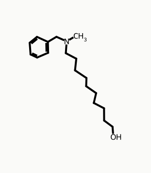 CN(CCCCCCCCCCO)Cc1ccccc1